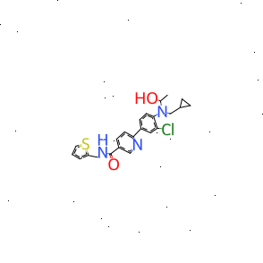 CC(O)N(CC1CC1)c1ccc(-c2ccc(C(=O)NCc3cccs3)cn2)cc1Cl